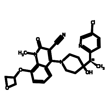 C[C@@H](c1ccc(Cl)cn1)C1(O)CCN(c2c(C#N)c(=O)n(C)c3c(OC4COC4)cccc23)CC1